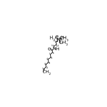 C=CCCCCCCCC(=O)NCCC[N+](C)(C)C